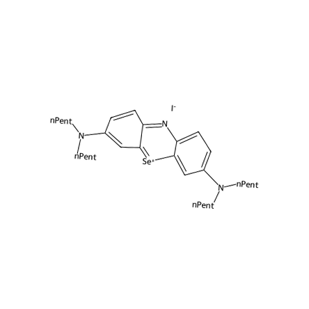 CCCCCN(CCCCC)c1ccc2nc3ccc(N(CCCCC)CCCCC)cc3[se+]c2c1.[I-]